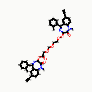 C#Cc1ccc2c(c1)C(c1ccccc1C)=NC(OOCCOCOCC(=O)OC1N=C(c3ccccc3C)c3cc(C#C)ccc3N(C)C1=O)C(=O)N2C